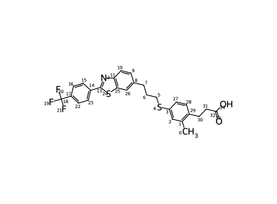 Cc1cc(SCCCc2ccc3nc(-c4ccc(C(F)(F)F)cc4)sc3c2)ccc1CCC(=O)O